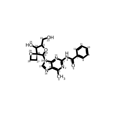 Cc1nc(NC(=O)c2ccccc2)nc2c1ncn2C1OC(CO)C(O)[C@]12CCO2